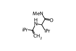 C=C(NC(C(=O)NC)C(C)C)C(C)C